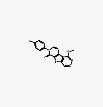 CNc1nncc2sc3c(=O)n(-c4ccc(C)cc4)cnc3c12